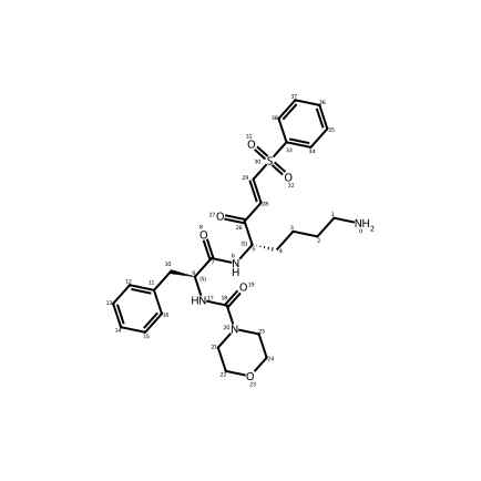 NCCCC[C@H](NC(=O)[C@H](Cc1ccccc1)NC(=O)N1CCOCC1)C(=O)C=CS(=O)(=O)c1ccccc1